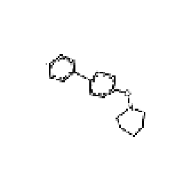 [c]1ccc(-c2ccc(ON3CCCCC3)cc2)cc1